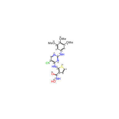 COc1cc(Nc2ncc(Cl)c(Nc3sccc3C(=O)NO)n2)cc(OC)c1OC